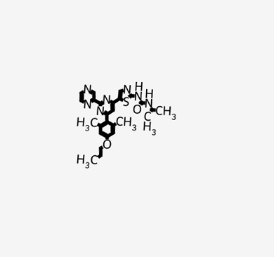 CCCOc1cc(C)c(-c2cc(-c3cnc(NC(=O)NC(C)C)s3)nc(-c3cnccn3)n2)c(C)c1